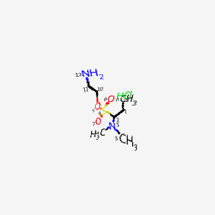 CCC(N(C)C)S(=O)(=O)OCCN.Cl